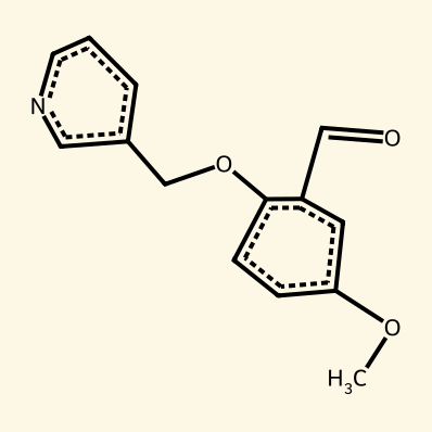 COc1ccc(OCc2cccnc2)c(C=O)c1